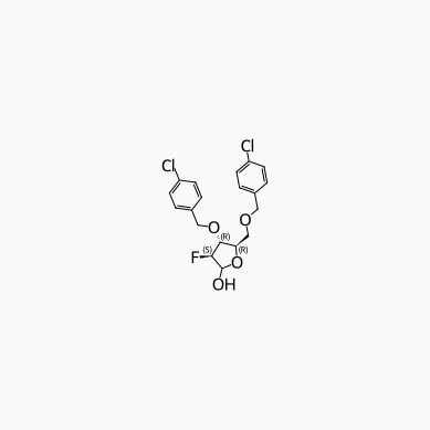 OC1O[C@H](COCc2ccc(Cl)cc2)[C@@H](OCc2ccc(Cl)cc2)[C@@H]1F